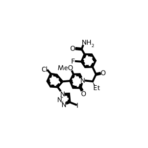 CC[C@@H](C(=O)c1ccc(C(N)=O)c(F)c1)n1cc(OC)c(-c2cc(Cl)ccc2-n2cc(I)nn2)cc1=O